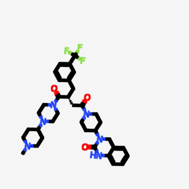 CN1CCC(N2CCN(C(=O)[C@@H](CC(=O)N3CCC(N4Cc5ccccc5NC4=O)CC3)Cc3cccc(C(F)(F)F)c3)CC2)CC1